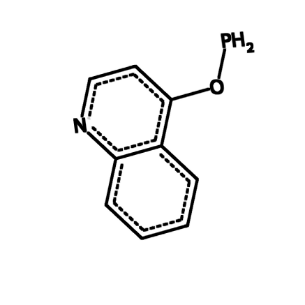 POc1ccnc2ccccc12